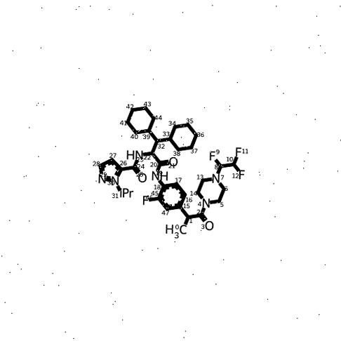 CC(C(=O)N1CCN(C(F)C(F)F)CC1)c1ccc(NC(=O)C(NC(=O)c2ccnn2C(C)C)C(C2CCCCC2)C2CCCCC2)c(F)c1